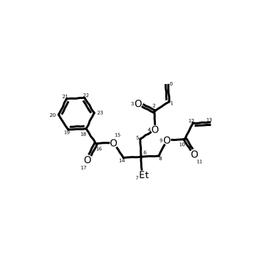 C=CC(=O)OCC(CC)(COC(=O)C=C)COC(=O)c1ccccc1